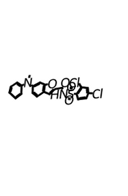 CN(c1ccccc1)c1ccc2cc(C(=O)NS(=O)(=O)c3ccc(Cl)cc3Cl)oc2c1